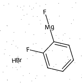 Br.[F][Mg][c]1ccccc1F